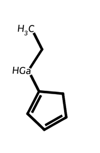 C[CH2][GaH][C]1=CC=CC1